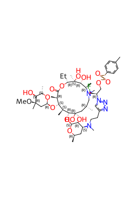 CC[C@H]1OC(=O)[C@H](C)[C@@H](O[C@H]2C[C@@](C)(OC)[C@@H](O)[C@H](C)O2)[C@H](C)[C@@H](O[C@@H]2O[C@H](C)C[C@H](N(C)CCc3cn([C@@H](CF)COS(=O)(=O)c4ccc(C)cc4)nn3)[C@H]2O)[C@](C)(O)C[C@@H](C)CN(C)[C@H](C)[C@@H](O)[C@]1(C)O